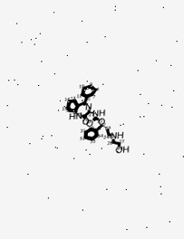 O=C(N[C@@H]1N=C(c2ccccc2)c2ccccc2NC1=O)O[C@H](CCNCCO)c1ccccc1